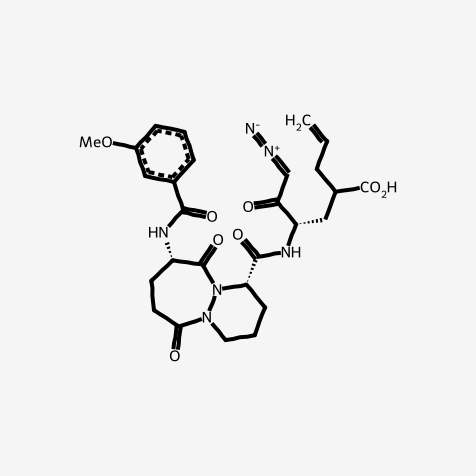 C=CCC(C[C@H](NC(=O)[C@@H]1CCCN2C(=O)CC[C@H](NC(=O)c3cccc(OC)c3)C(=O)N12)C(=O)C=[N+]=[N-])C(=O)O